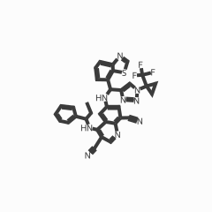 CCC(Nc1c(C#N)cnc2c(C#N)cc(NC(c3cn(C4(C(F)(F)F)CC4)nn3)c3cccc4ncsc34)cc12)c1ccccc1